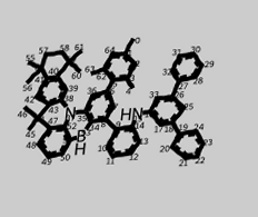 Cc1cc(C)c(-c2cc(-c3ccccc3Nc3cc(-c4ccccc4)cc(-c4ccccc4)c3)c3c(c2)N2c4cc5c(cc4C(C)(C)c4cccc(c42)B3)C(C)(C)CCC5(C)C)c(C)c1